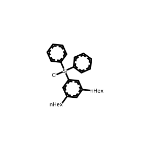 CCCCCCc1cc(CCCCCC)cc([Si](Cl)(c2ccccc2)c2ccccc2)c1